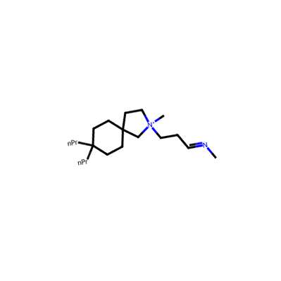 CCCC1(CCC)CCC2(CC1)CC[N+](C)(CCC=NC)C2